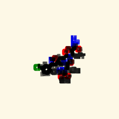 CCC[C@H](NC(=O)[C@@H]1C[C@]2(CC(c3cc(Cl)ccc3OC)=NO2)CN1C(=O)[C@@H](NC(=O)OC(C)(C)C)C(C)(C)C)C(=O)C(N)=O